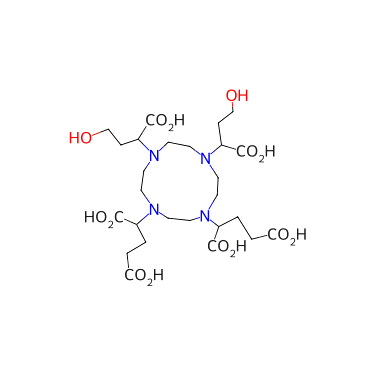 O=C(O)CCC(C(=O)O)N1CCN(C(CCO)C(=O)O)CCN(C(CCO)C(=O)O)CCN(C(CCC(=O)O)C(=O)O)CC1